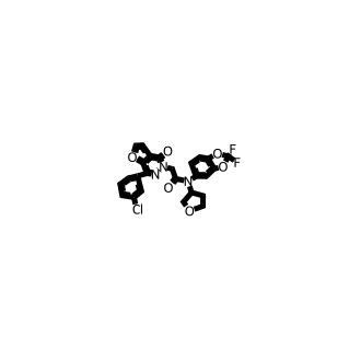 O=C(Cn1nc(-c2cccc(Cl)c2)c2occc2c1=O)N(c1ccc2c(c1)OC(F)(F)O2)C1CCOC1